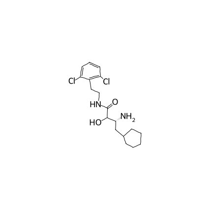 N[C@H](CC1CCCCC1)C(O)C(=O)NCCc1c(Cl)cccc1Cl